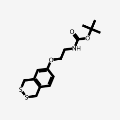 CC(C)(C)OC(=O)NCCOc1ccc2c(c1)CSSC2